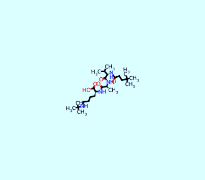 CC(C)[C@H](NC(=O)CCC(C)(C)C)C(=O)N[C@@H](C)C(=O)N[C@@H](CCCCNC(C)(C)C)C(=O)O